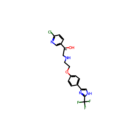 O[C@@H](CNCCOc1ccc(-c2c[nH]c(C(F)(F)F)n2)cc1)c1ccc(Cl)nc1